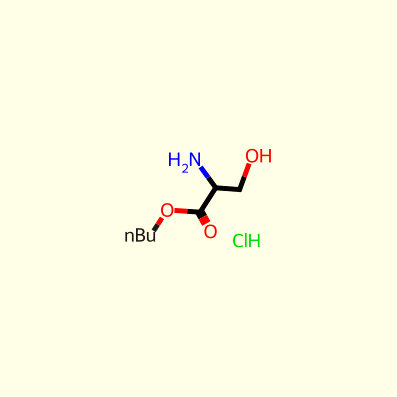 CCCCOC(=O)C(N)CO.Cl